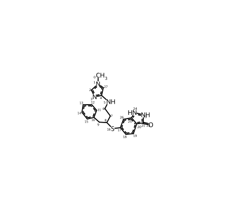 Cn1cnc(NCCC(Cc2ccccc2)Sc2ccc3c(=O)[nH][nH]c3c2)c1